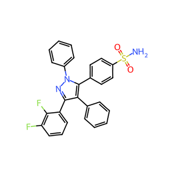 NS(=O)(=O)c1ccc(-c2c(-c3ccccc3)c(-c3cccc(F)c3F)nn2-c2ccccc2)cc1